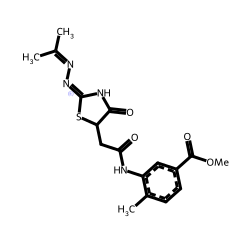 COC(=O)c1ccc(C)c(NC(=O)CC2S/C(=N/N=C(C)C)NC2=O)c1